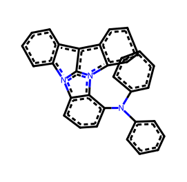 c1ccc(N(c2ccccc2)c2cccc3c2n2c4ccccc4c4c5ccccc5n3c42)cc1